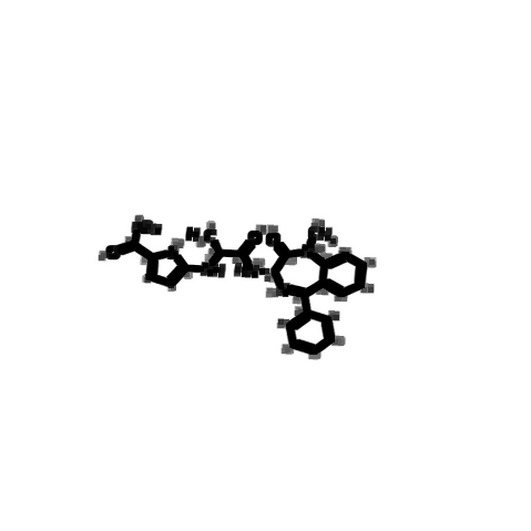 CCCCC(=O)c1ccc(N[C@@H](C)C(=O)N[C@H]2N=C(c3ccccc3)c3ccccc3N(C)C2=O)s1